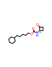 O=C(N[C@@H]1CCC1=O)OCCCCCC1CCCCC1